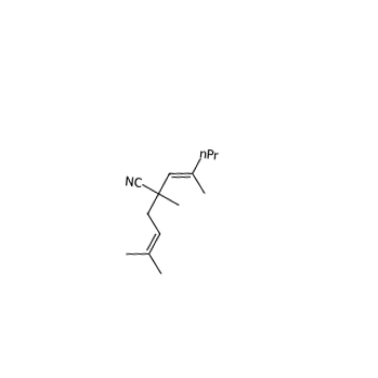 CCC/C(C)=C/C(C)(C#N)CC=C(C)C